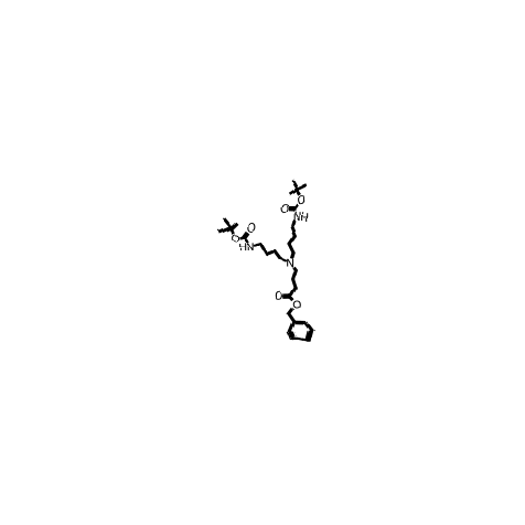 CC(C)(C)OC(=O)NCCCCN(CCCCNC(=O)OC(C)(C)C)CCCC(=O)OCc1ccccc1